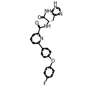 NC(=O)[C@H](Cc1c[nH]cn1)NC(=O)c1cccc(-c2ccc(Oc3ccc(F)cc3)cc2)n1